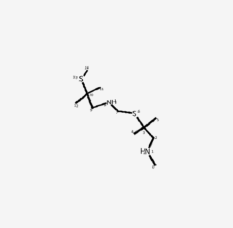 CNCC(C)(C)SCNCC(C)(C)SC